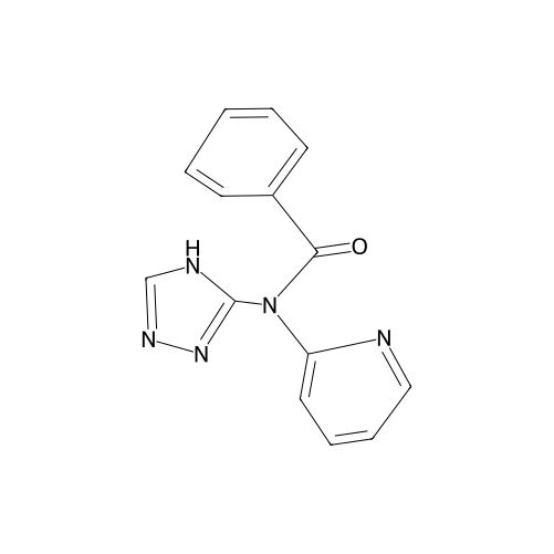 O=C(c1ccccc1)N(c1ccccn1)c1nnc[nH]1